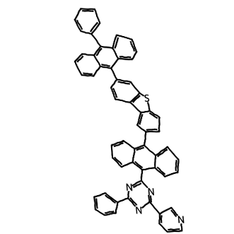 c1ccc(-c2nc(-c3cccnc3)nc(-c3c4ccccc4c(-c4ccc5sc6cc(-c7c8ccccc8c(-c8ccccc8)c8ccccc78)ccc6c5c4)c4ccccc34)n2)cc1